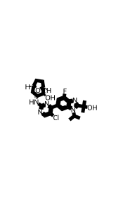 CC(C)n1c(C(C)(C)O)nc2c(F)cc(-c3nc(N[C@@H]4C[C@H]5CC[C@H](O5)[C@H]4O)ncc3Cl)cc21